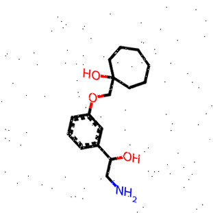 NCC(O)c1cccc(OCC2(O)CCCCCC2)c1